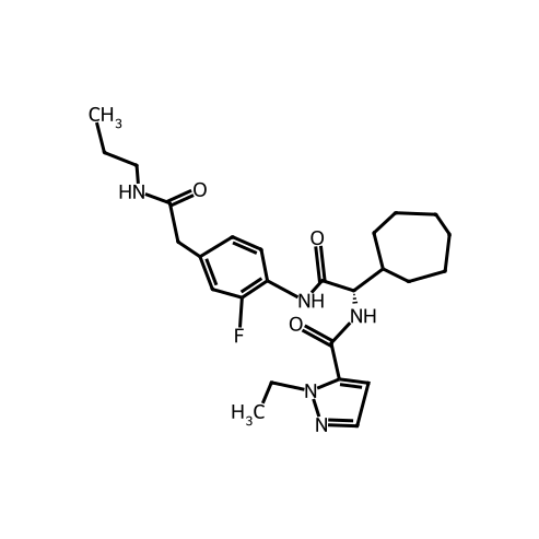 CCCNC(=O)Cc1ccc(NC(=O)[C@@H](NC(=O)c2ccnn2CC)C2CCCCCC2)c(F)c1